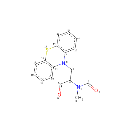 CN(C=O)C(C=O)CN1c2ccccc2Sc2ccccc21